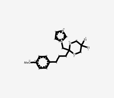 CCC1(CC)COC(CCCc2ccc(OC)cc2)(Cn2ccnc2)OC1